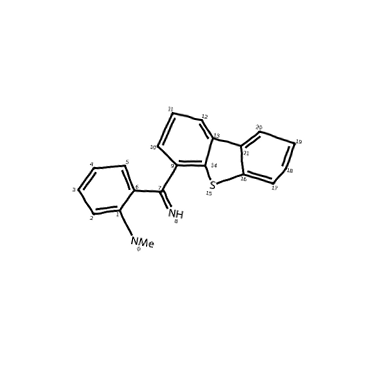 CNc1ccccc1C(=N)c1cccc2c1sc1ccccc12